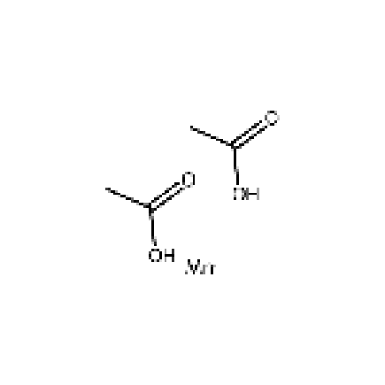 CC(=O)O.CC(=O)O.[Mn]